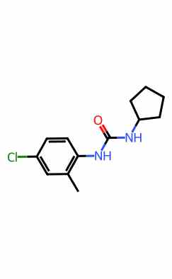 Cc1cc(Cl)ccc1NC(=O)NC1CCCC1